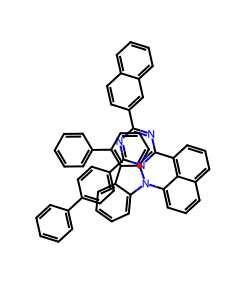 c1ccc(-c2ccc(-c3nc(-c4ccc5ccccc5c4)nc(-c4cccc5cccc(-n6c7ccccc7c7c(-c8ccccc8)cccc76)c45)n3)cc2)cc1